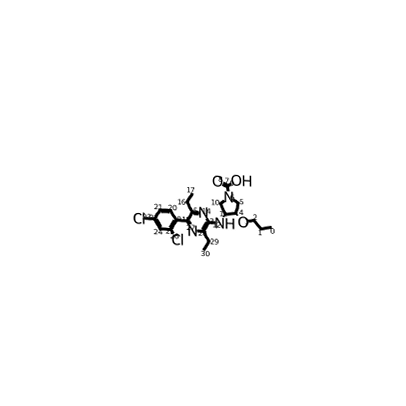 CCCO[C@H]1CN(C(=O)O)C[C@H]1Nc1nc(CC)c(-c2ccc(Cl)cc2Cl)nc1CC